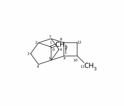 C=C1C2CCC13CC2C1=C3C(C)C1